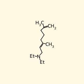 C=C(C)CCC/C(C)=C/CN(CC)CC